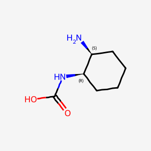 N[C@H]1CCCC[C@H]1NC(=O)O